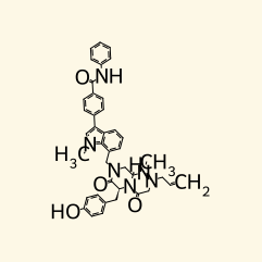 C=CCN1CC(=O)N2[C@@H](Cc3ccc(O)cc3)C(=O)N(Cc3cccc4c(-c5ccc(C(=O)Nc6ccccc6)cc5)cn(C)c34)C[C@@H]2N1C